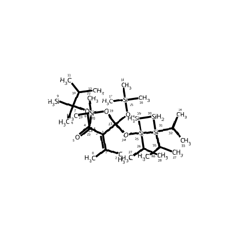 CC(C)=C(C(=O)OC(C)([SiH3])C(C)C)C(O[Si](C)(C)C)(O[Si](C)(C)C)O[Si]1(C(C)C)[SiH2][SiH2][Si]1(C(C)C)C(C)C